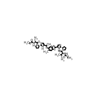 COC(=O)N[C@@H](C)C(=O)N1CCC[C@H]1c1ncc(/C(C)=N/c2cc3nc(-c4cnc([C@@H]5CCCN5C(=O)[C@@H](NC(=O)OC)C(C)C)[nH]4)sc3cc2C)[nH]1